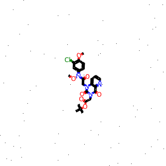 COc1ccc(N(OC)C(=O)Cn2c(=O)n(CC(=O)OC(C)(C)C)c(=O)c3ncccc32)cc1Cl